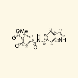 COC(=O)c1ccc(C(=O)NCc2ccc3cc[nH]c3c2)cc1Cl